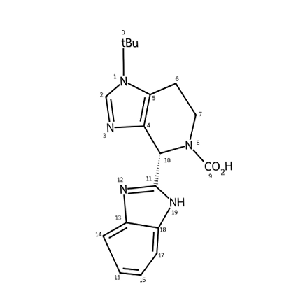 CC(C)(C)n1cnc2c1CCN(C(=O)O)[C@@H]2c1nc2ccccc2[nH]1